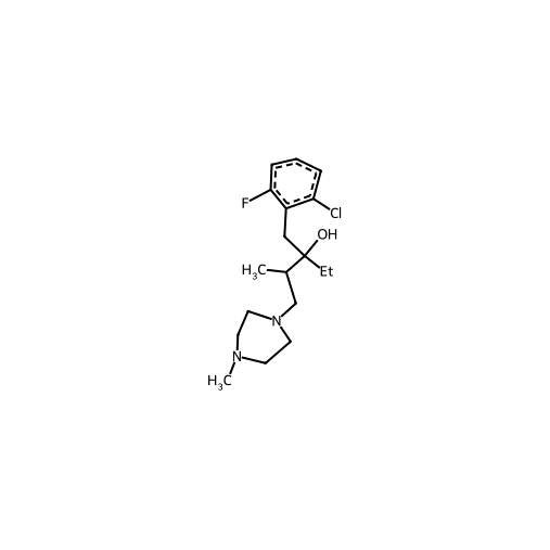 CCC(O)(Cc1c(F)cccc1Cl)C(C)CN1CCN(C)CC1